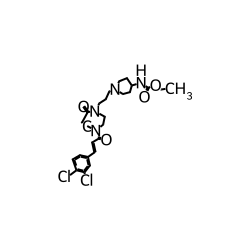 CCOC(=O)NC1CCN(CCCN2CCN(C(=O)C=Cc3ccc(Cl)c(Cl)c3)CCC2=O)CC1